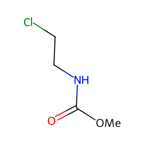 [CH2]OC(=O)NCCCl